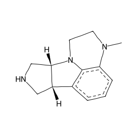 CN1CCN2c3c(cccc31)[C@@H]1CNC[C@@H]12